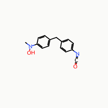 CN(O)c1ccc(Cc2ccc(N=C=O)cc2)cc1